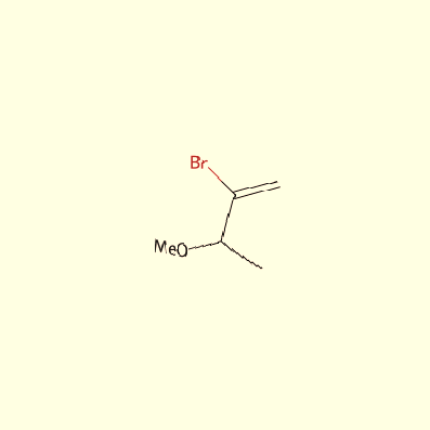 C=C(Br)C(C)OC